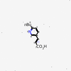 CCCCc1ccc(/C=C/C(=O)O)cn1